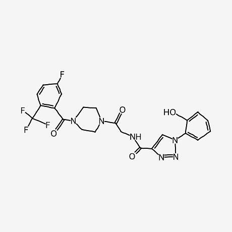 O=C(NCC(=O)N1CCN(C(=O)c2cc(F)ccc2C(F)(F)F)CC1)c1cn(-c2ccccc2O)nn1